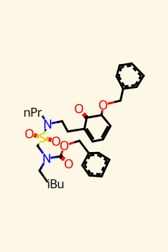 CCCN(CCC1=CC=CC(OCc2ccccc2)C1=O)S(=O)(=O)CN(CC(C)CC)C(=O)OCc1ccccc1